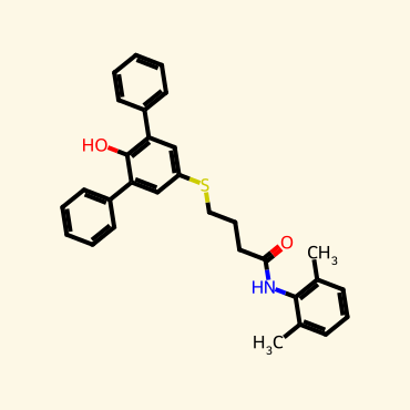 Cc1cccc(C)c1NC(=O)CCCSc1cc(-c2ccccc2)c(O)c(-c2ccccc2)c1